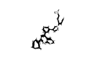 CCC(CCNC)n1cc(-c2cncc(-c3cc(-c4ccccc4F)nc4ncccc34)c2)cn1